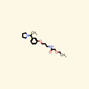 CCOCC(=O)NCCCOc1cccc(C(C)N2CCCC2)c1